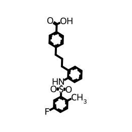 Cc1ccc(F)cc1S(=O)(=O)Nc1ccccc1CCCc1ccc(C(=O)O)cc1